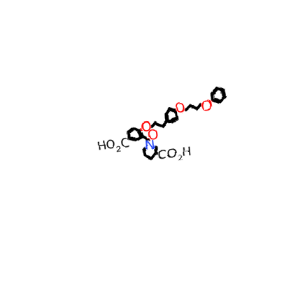 O=C(O)c1ccc(OCCCc2ccc(OCCCCOc3ccccc3)cc2)c(C(=O)N2CCCC(C(=O)O)C2)c1